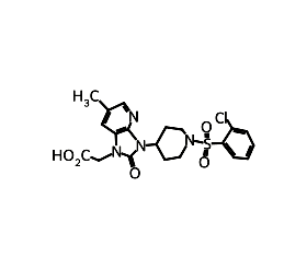 Cc1cnc2c(c1)n(CC(=O)O)c(=O)n2C1CCN(S(=O)(=O)c2ccccc2Cl)CC1